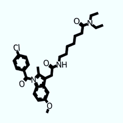 CCN(CC)C(=O)CCCCCCNC(=O)Cc1c(C)n(C(=O)c2ccc(Cl)cc2)c2ccc(OC)cc12